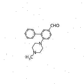 CN1CCN(c2ccc(C=O)cc2-c2ccccc2)CC1